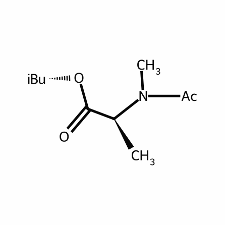 CC[C@@H](C)OC(=O)[C@H](C)N(C)C(C)=O